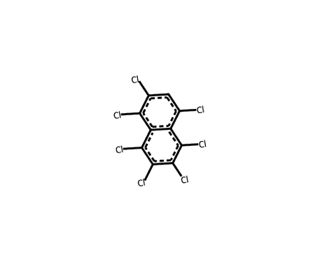 Clc1cc(Cl)c2c(Cl)c(Cl)c(Cl)c(Cl)c2c1Cl